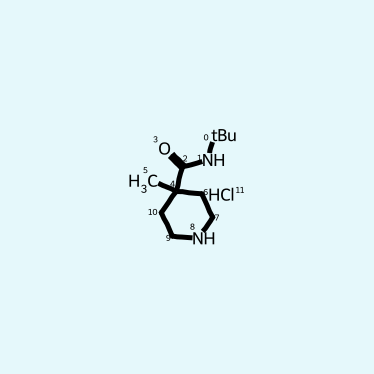 CC(C)(C)NC(=O)C1(C)CCNCC1.Cl